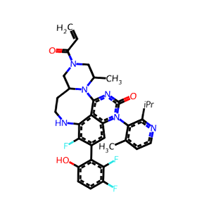 C=CC(=O)N1CC(C)N2c3nc(=O)n(-c4c(C)ccnc4C(C)C)c4cc(-c5c(O)ccc(F)c5F)c(F)c(c34)NCCC2C1